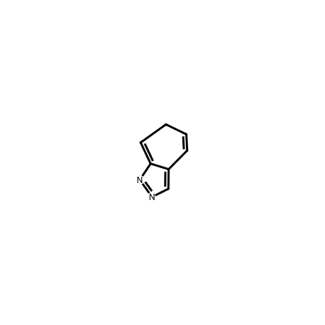 C1=CC2=CN=NC2=CC1